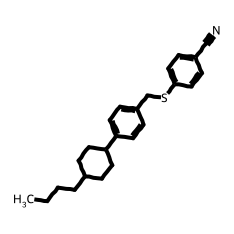 CCCCC1CCC(c2ccc(CSc3ccc(C#N)cc3)cc2)CC1